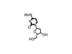 CNc1ccn([C@H]2C[C@@H](O)[C@@H](CO)O2)c(=O)n1